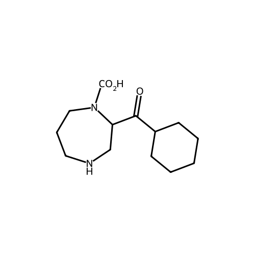 O=C(C1CCCCC1)C1CNCCCN1C(=O)O